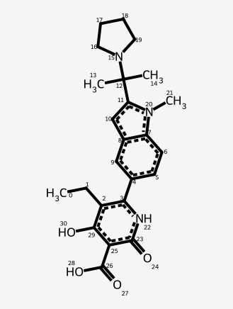 CCc1c(-c2ccc3c(c2)cc(C(C)(C)N2CCCC2)n3C)[nH]c(=O)c(C(=O)O)c1O